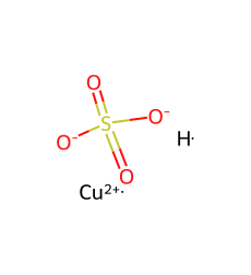 O=S(=O)([O-])[O-].[Cu+2].[H]